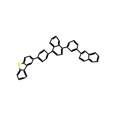 c1cc(-c2ccc3ccccc3c2)cc(-c2ccc(-c3ccc(-c4ccc5sc6ccccc6c5c4)cc3)c3ccccc23)c1